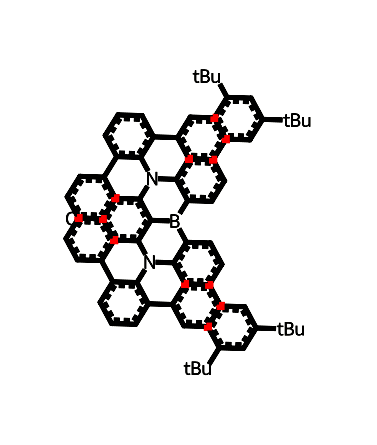 CC(C)(C)c1cc(-c2ccc3c(c2)N(c2c(-c4ccccc4)cccc2-c2ccccc2)c2cc(Cl)cc4c2B3c2ccc(-c3cc(C(C)(C)C)cc(C(C)(C)C)c3)cc2N4c2c(-c3ccccc3)cccc2-c2ccccc2)cc(C(C)(C)C)c1